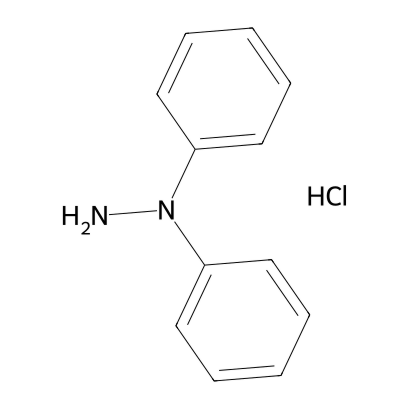 Cl.NN(c1ccccc1)c1ccccc1